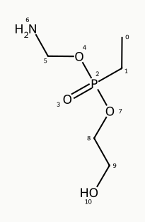 CCP(=O)(OCN)OCCO